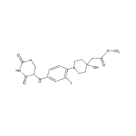 COC(=O)CC1(O)CCN(c2ccc(NC3CCC(=O)NC3=O)cc2F)CC1